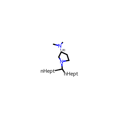 CCCCCCCC(CCCCCCC)N1CC[C@@H](N(C)C)C1